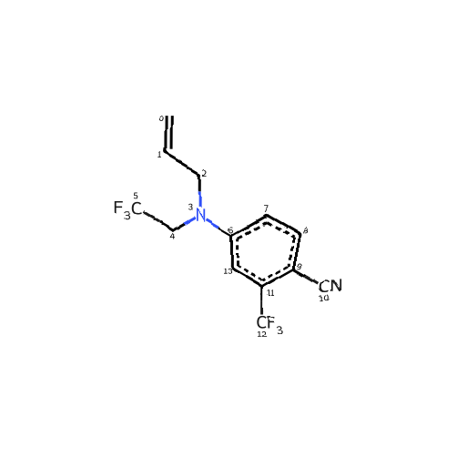 C=CCN(CC(F)(F)F)c1ccc(C#N)c(C(F)(F)F)c1